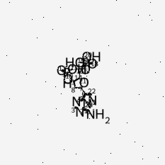 Nc1ncnc2c([C@H]3C[C@H](O[PH](=O)O)[C@@H](COP(=O)(O)O)O3)cnn12